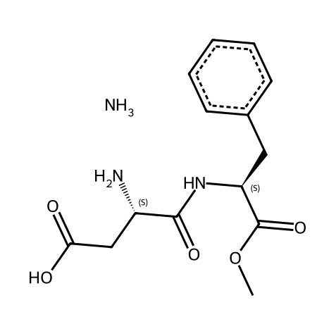 COC(=O)[C@H](Cc1ccccc1)NC(=O)[C@@H](N)CC(=O)O.N